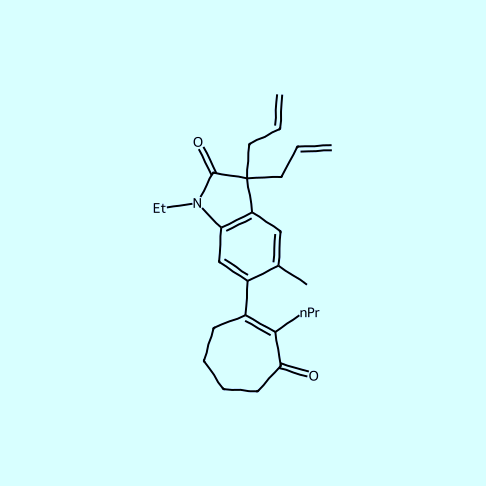 C=CCC1(CC=C)C(=O)N(CC)c2cc(C3=C(CCC)C(=O)CCCC3)c(C)cc21